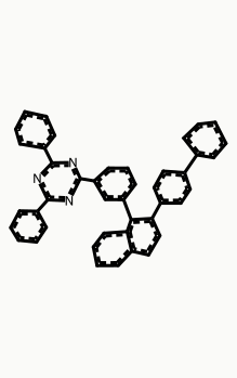 c1ccc(-c2ccc(-c3ccc4ccccc4c3-c3cccc(-c4nc(-c5ccccc5)nc(-c5ccccc5)n4)c3)cc2)cc1